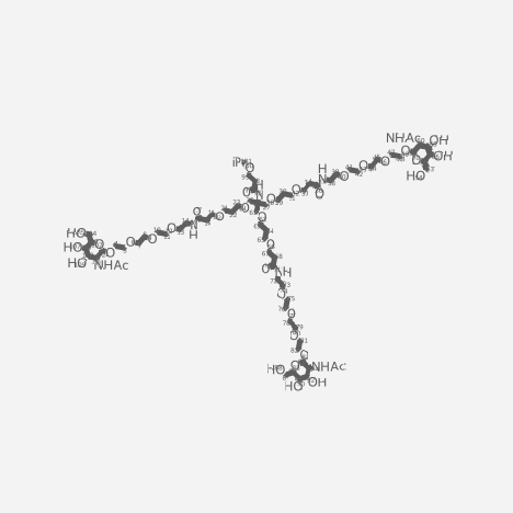 CC(=O)NC1C(OCCOCCOCCOCCNC(=O)CCOCCCOCC(COCCCOCCC(=O)NCCOCCOCCOCCOC2OC(CO)C(O)C(O)C2NC(C)=O)(COCCCOCCC(=O)NCCOCCOCCOCCOC2OC(CO)C(O)C(O)C2NC(C)=O)NC(=O)CCOC(C)C)OC(CO)C(O)C1O